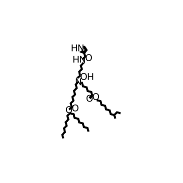 CCCCCCCCC(CCCCCCCC)OC(=O)CCCCCCCN(CCCCCC(=O)OCCCCCCCC(C)CC)CC(O)CCCCNC(=O)c1cc[nH]c1